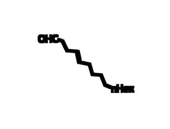 CCCCCCCCCCC=CCCC=O